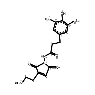 CCCCCCCCCCCCC1=CC(=O)N(NC(=O)CCc2cc(C(C)(C)C)c(O)c(C(C)(C)C)c2)C1=O